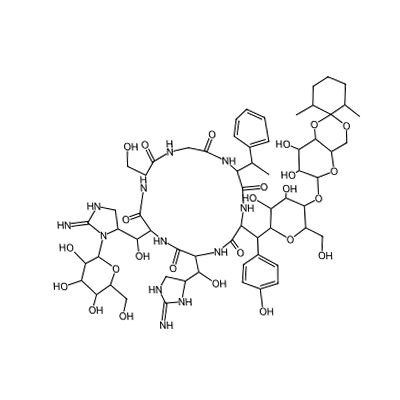 CC(c1ccccc1)C1NC(=O)CNC(=O)C(CO)NC(=O)C(C(O)C2CNC(=N)N2C2OC(CO)C(O)C(O)C2O)NC(=O)C(C(O)C2CNC(=N)N2)NC(=O)C(C(c2ccc(O)cc2)C2OC(CO)C(OC3OC4COC5(OC4C(O)C3O)C(C)CCCC5C)C(O)C2O)NC1=O